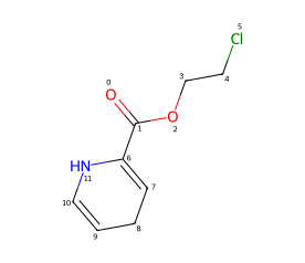 O=C(OCCCl)C1=CCC=CN1